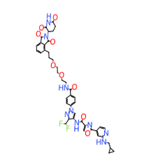 O=C1CCC(N2C(=O)c3cccc(CCCOCCOCCNC(=O)c4ccc(-n5cc(NC(=O)c6coc(-c7ccnc(NCC8CC8)c7)n6)c(C(F)F)n5)cc4)c3C2=O)C(=O)N1